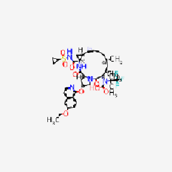 CCOc1ccc2c(O[C@@H]3C[C@H]4C(=O)N[C@]5(C(=O)NS(=O)(=O)C6CC6)C[C@H]5/C=C\CC[C@H](C)C[C@@H](C)[C@H](N(C(=O)O)C(C)(C)C(F)(F)F)C(=O)N4C3)nccc2c1